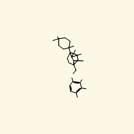 CC1(C)CCC(C)(C23CCC(COc4ccc(O)c(F)c4F)(CC2)C(F)C3(F)F)CC1